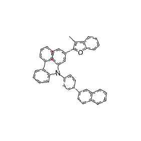 Cc1c(-c2cccc(N(c3ccc(-c4ccc5ccccc5c4)cc3)c3ccccc3-c3ccccc3)c2)oc2ccccc12